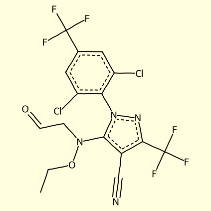 CCON(CC=O)c1c(C#N)c(C(F)(F)F)nn1-c1c(Cl)cc(C(F)(F)F)cc1Cl